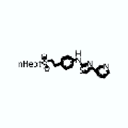 CCCCCCCS(=O)(=O)CCc1ccc(Nc2nc(-c3cccnc3)cs2)cc1